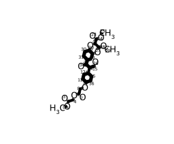 COC(=O)COC(=O)COc1ccc(-c2coc3cc(OC(C(=O)OC)C(=O)OC)ccc3c2=O)cc1